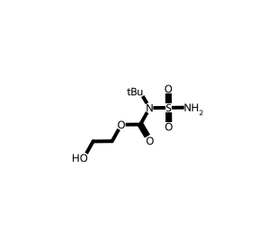 CC(C)(C)N(C(=O)OCCO)S(N)(=O)=O